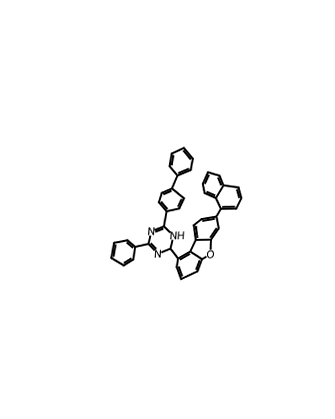 c1ccc(C2=NC(c3cccc4oc5cc(-c6cccc7ccccc67)ccc5c34)NC(c3ccc(-c4ccccc4)cc3)=N2)cc1